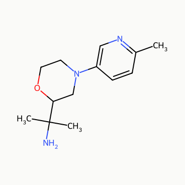 Cc1ccc(N2CCOC(C(C)(C)N)C2)cn1